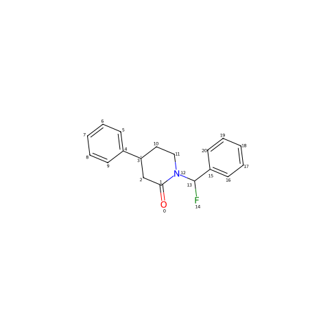 O=C1C[C](c2ccccc2)CCN1C(F)c1ccccc1